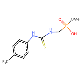 COP(=O)(O)CNC(=S)Nc1ccc(C(F)(F)F)cc1